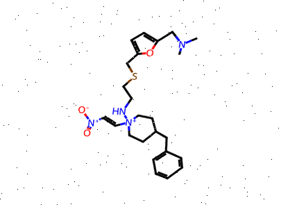 CN(C)Cc1ccc(CSCCN[N+]2(C=C[N+](=O)[O-])CCC(Cc3ccccc3)CC2)o1